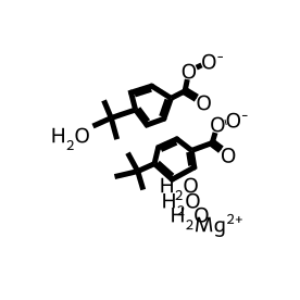 CC(C)(C)c1ccc(C(=O)O[O-])cc1.CC(C)(C)c1ccc(C(=O)O[O-])cc1.O.O.O.O.[Mg+2]